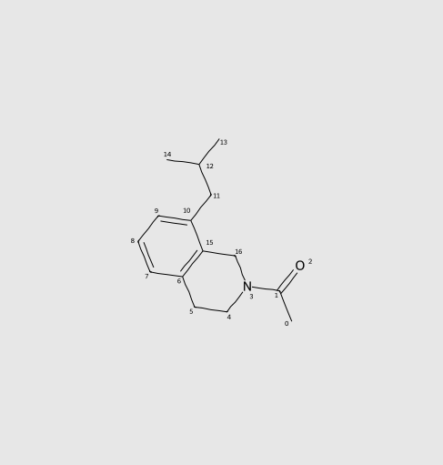 CC(=O)N1CCc2cccc(CC(C)C)c2C1